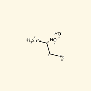 CCC[CH2][SnH3+2].[OH-].[OH-]